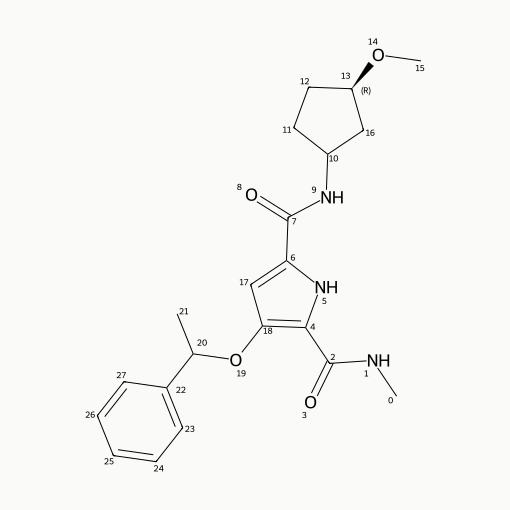 CNC(=O)c1[nH]c(C(=O)NC2CC[C@@H](OC)C2)cc1OC(C)c1ccccc1